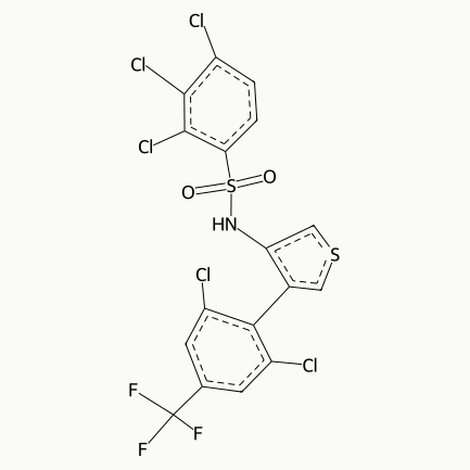 O=S(=O)(Nc1cscc1-c1c(Cl)cc(C(F)(F)F)cc1Cl)c1ccc(Cl)c(Cl)c1Cl